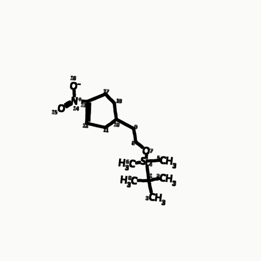 CC(C)(C)[Si](C)(C)OCCC1CC=C([N+](=O)[O-])CC1